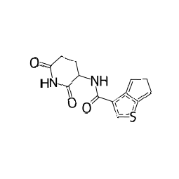 O=C1CCC(NC(=O)c2csc3c2=CCC=3)C(=O)N1